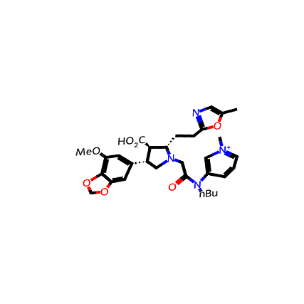 CCCCN(C(=O)CN1C[C@H](c2cc(OC)c3c(c2)OCO3)[C@@H](C(=O)O)[C@@H]1CCc1ncc(C)o1)c1ccc[n+](C)c1